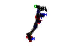 CC1(C)CCC(CN2CCN(c3ccc(C(=O)NS(=O)(=O)c4ccc(NC[C@H]5CC[C@@H](N6CCN(CCCCCCCCSc7cccc8c7CN(C7CCC(=O)NC7=O)C8=O)CC6)CC5)c([N+](=O)[O-])c4)c(Oc4cnc5[nH]ccc5c4)c3)CC2)=C(c2ccc(Cl)cc2)C1